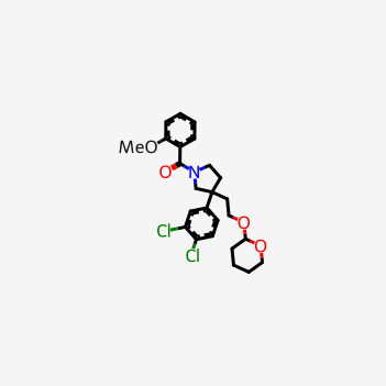 COc1ccccc1C(=O)N1CCC(CCOC2CCCCO2)(c2ccc(Cl)c(Cl)c2)C1